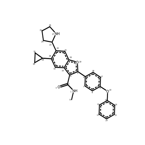 CNC(=O)c1c(-c2ccc(Oc3ccccc3)cc2)oc2cc(C3CCCN3)c(C3CC3)cc12